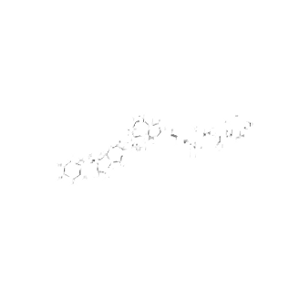 O=C(O[C@H]1CN[C@H](C#Cc2cc3ncnc(Nc4ccc5c(ccn5Cc5ccccc5)c4)c3s2)C1)N1CCOCC1